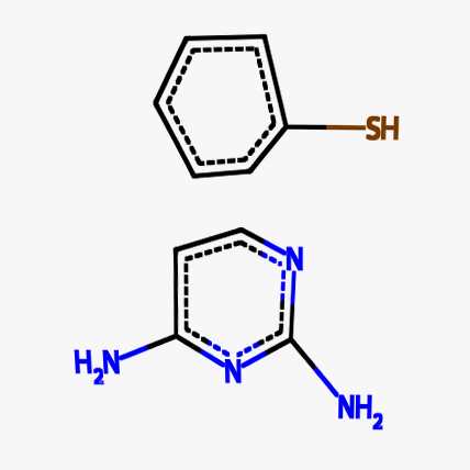 Nc1ccnc(N)n1.Sc1ccccc1